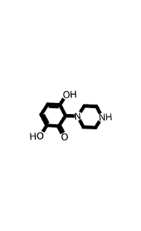 O=C1C(O)=CC=C(O)C1N1CCNCC1